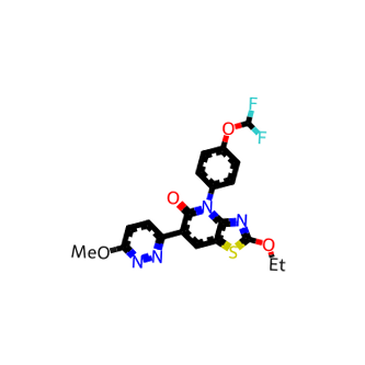 CCOc1nc2c(cc(-c3ccc(OC)nn3)c(=O)n2-c2ccc(OC(F)F)cc2)s1